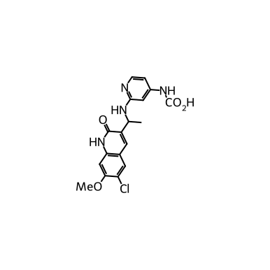 COc1cc2[nH]c(=O)c(C(C)Nc3cc(NC(=O)O)ccn3)cc2cc1Cl